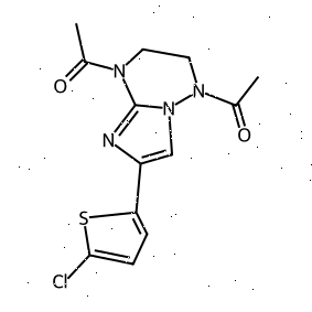 CC(=O)N1CCN(C(C)=O)n2cc(-c3ccc(Cl)s3)nc21